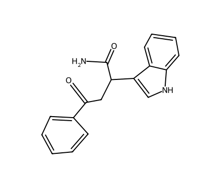 NC(=O)C(CC(=O)c1ccccc1)c1c[nH]c2ccccc12